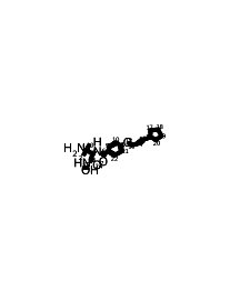 CC(C)(N)C(NC(=O)c1ccc(OCC#CC2CCCC2)cc1)C(=O)NO